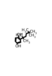 CC(C)(C)CCC(C)(C)c1cc(O)ccc1O